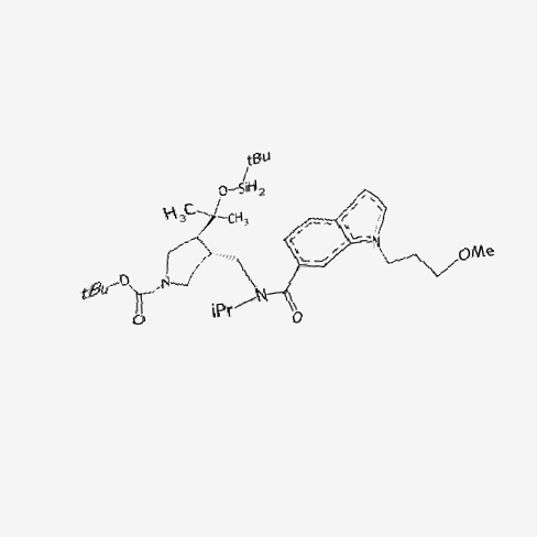 COCCCn1ccc2ccc(C(=O)N(C[C@@H]3CN(C(=O)OC(C)(C)C)C[C@H]3C(C)(C)O[SiH2]C(C)(C)C)C(C)C)cc21